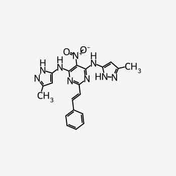 Cc1cc(Nc2nc(C=Cc3ccccc3)nc(Nc3cc(C)n[nH]3)c2[N+](=O)[O-])[nH]n1